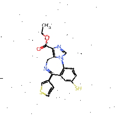 CCOC(=O)c1ncn2c1CN=C(c1ccsc1)c1cc(S)ccc1-2